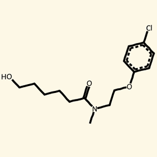 CN(CCOc1ccc(Cl)cc1)C(=O)CCCCCO